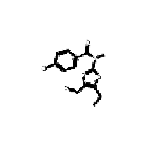 CCc1sc(N(C)C(=O)c2ccc(Cl)cc2)nc1C=O